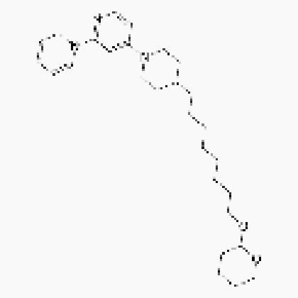 C1=CCN(c2cc(N3CCC(CCCCCCCCOC4CCCCO4)CC3)ccn2)C=C1